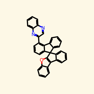 c1ccc2c(c1)-c1c(-c3cnc4ccccc4n3)cccc1C21c2ccccc2-c2c1oc1ccccc21